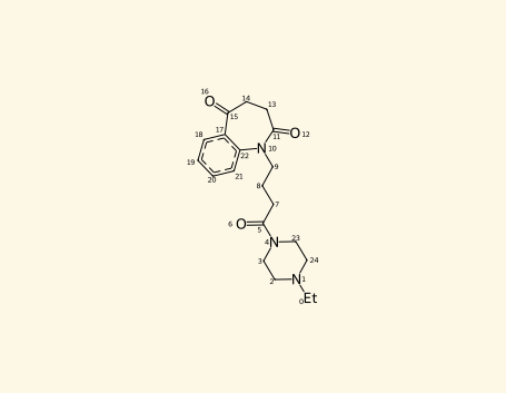 CCN1CCN(C(=O)CCCN2C(=O)CCC(=O)c3ccccc32)CC1